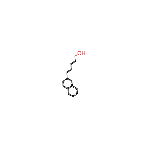 OCC=CC=Cc1ccc2ccccc2c1